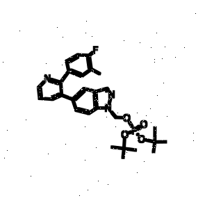 Cc1cc(-c2ncccc2-c2ccc3c(cnn3COP(=O)(OC(C)(C)C)OC(C)(C)C)c2)ccc1F